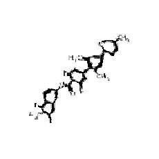 Cc1cc(C2CCC(C)CO2)cc(C)c1-c1cc(F)c(C(=O)Oc2ccc3c(F)c(C)c(F)cc3c2)c(F)c1